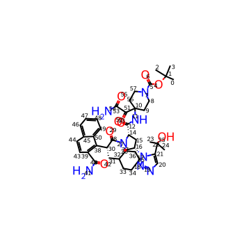 CC(C)(C)OC(=O)N1CCC(NC(=O)[C@@H]2C[C@H](n3nncc3C(C)(C)O)CN2C(=O)[C@H](CC2CCCCC2)c2c(C(N)=O)ccc3ccccc23)(C(=O)C(N)=O)CC1